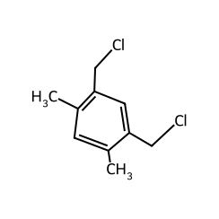 Cc1cc(C)c(CCl)cc1CCl